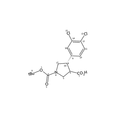 CC(C)(C)OC(=O)N1CC(C(=O)O)[C@@H](c2ccc(Cl)c(Cl)c2)C1